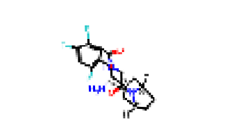 CC(=O)NCC(=O)N1[C@@H]2CC[C@H]1C[C@H]([C@H](N)Cc1cc(F)c(F)cc1F)C2